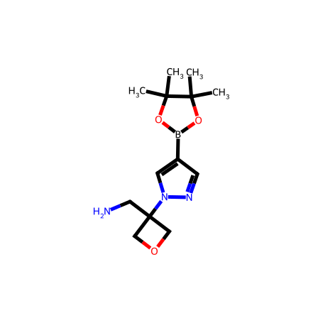 CC1(C)OB(c2cnn(C3(CN)COC3)c2)OC1(C)C